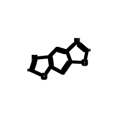 [c]1nc2cc3n[c]oc3cc2o1